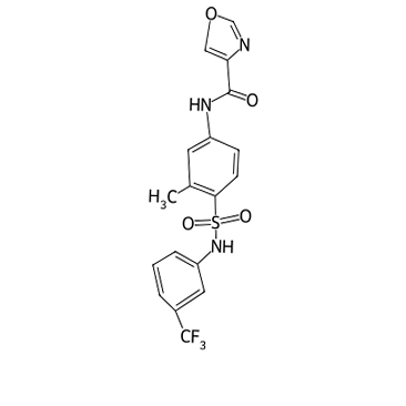 Cc1cc(NC(=O)c2cocn2)ccc1S(=O)(=O)Nc1cccc(C(F)(F)F)c1